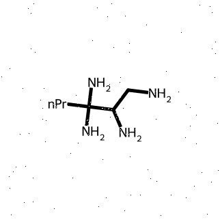 CCCC(N)(N)C(N)CN